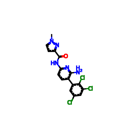 Cn1ccc(C(=O)Nc2ccc(-c3cc(Cl)cc(Cl)c3Cl)c(N)n2)n1